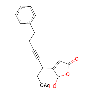 CC(=O)OCC(C#CCCc1ccccc1)C1=CC(=O)OC1O